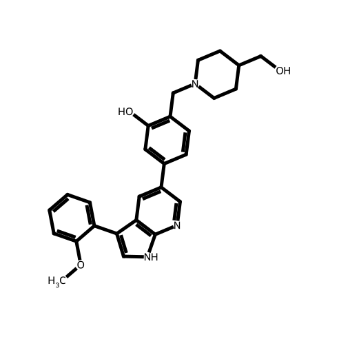 COc1ccccc1-c1c[nH]c2ncc(-c3ccc(CN4CCC(CO)CC4)c(O)c3)cc12